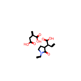 C=C(CC(=O)O)C(=O)O.C=CC(C(=O)O)C1CCN(C=C)C1=O